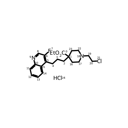 CCOC(=O)C1(CCCc2c(F)cnc3ccccc23)CCN(CCCl)CC1.Cl